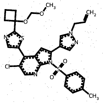 C=CCn1cc(-c2cc3c(-c4cnc(C5(OCOC)CCC5)s4)c(Cl)cnc3n2S(=O)(=O)c2ccc(C)cc2)cn1